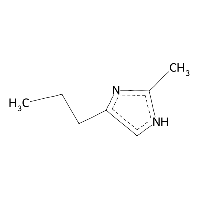 CCCc1c[nH]c(C)n1